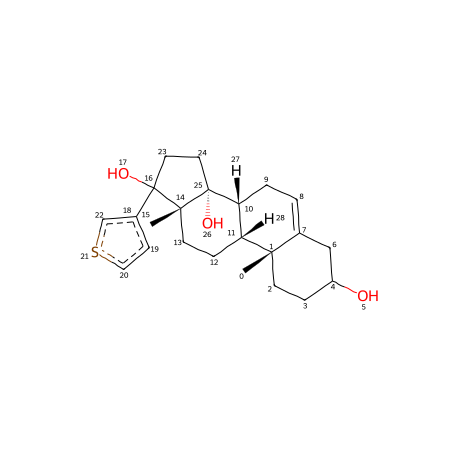 C[C@]12CCC(O)CC1=CC[C@@H]1[C@H]2CC[C@]2(C)C(O)(c3ccsc3)CC[C@@]12O